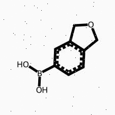 OB(O)c1ccc2c(c1)COC2